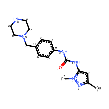 CC(C)n1nc(C(C)(C)C)cc1NC(=O)Nc1ccc(CN2CCNCC2)cc1